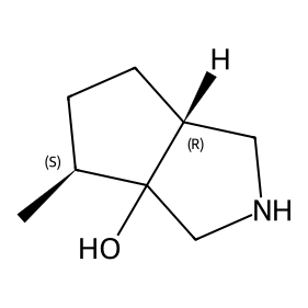 C[C@H]1CC[C@@H]2CNCC21O